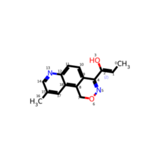 C/C=C(\O)C1=NOCc2c1ccc1ncc(C)cc21